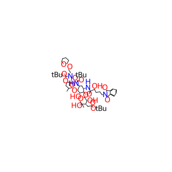 CC1CC[C@@H](CN(CCOC2CCCCO2)C(=O)OC(C)(C)C)O[C@@H]1OC1C(O)C(O[C@H]2OCC(C)(O)[C@H](CC(=O)OC(C)(C)C)C2O)[C@H](NC(=O)[C@@H](O)CCCN2C(=O)c3ccccc3C2=O)C[C@@H]1NC(=O)OC(C)(C)C